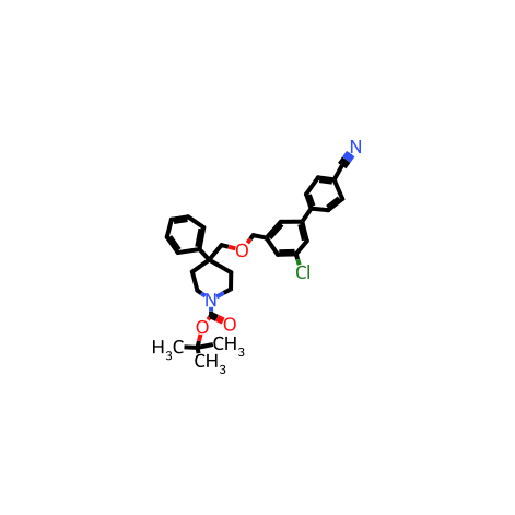 CC(C)(C)OC(=O)N1CCC(COCc2cc(Cl)cc(-c3ccc(C#N)cc3)c2)(c2ccccc2)CC1